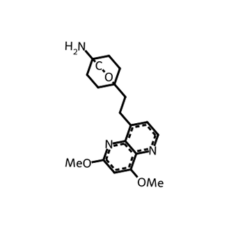 COc1cc(OC)c2nccc(CCC34CCC(N)(CC3)CO4)c2n1